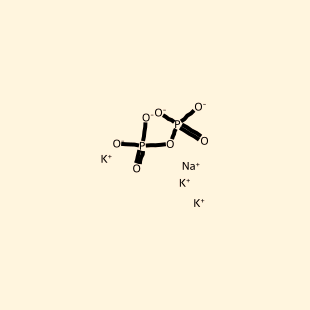 O=P([O-])([O-])OP(=O)([O-])[O-].[K+].[K+].[K+].[Na+]